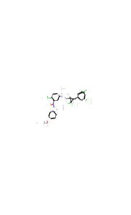 O=CC1(CNc2ccc(Cl)c(C(=O)Nc3ccc(OC(F)(F)F)cc3)c2)C(c2cc(Cl)cc(Cl)c2)C1(Cl)Cl